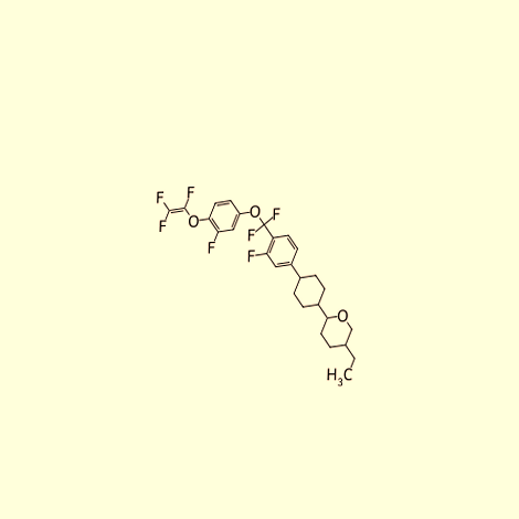 CCC1CCC(C2CCC(c3ccc(C(F)(F)Oc4ccc(OC(F)=C(F)F)c(F)c4)c(F)c3)CC2)OC1